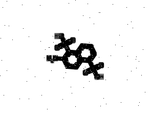 Nc1ccc2c(S(=O)(=O)O)c[c]cc2c1S(=O)(=O)O